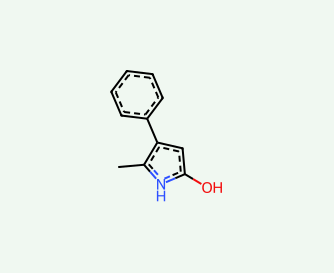 Cc1[nH]c(O)cc1-c1ccccc1